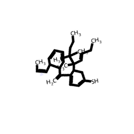 C=C(C1=CC=C(S)CC1C(C)(C=CCC)C(C)(C)CCC)C1C=CC=CC1/C=C\C